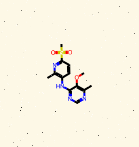 COc1c(C)ncnc1Nc1ccc(S(C)(=O)=O)nc1C